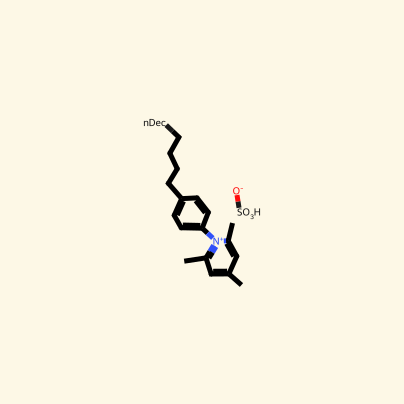 CCCCCCCCCCCCCCc1ccc(-[n+]2c(C)cc(C)cc2C)cc1.O=S(=O)([O-])O